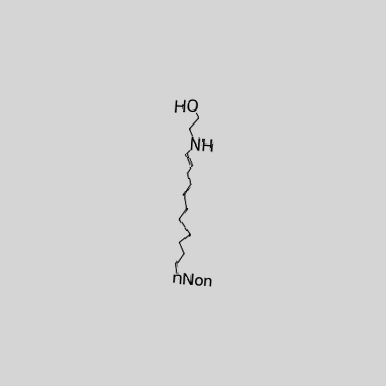 CCCCCCCCCCCCCCCCCCC=CNCCO